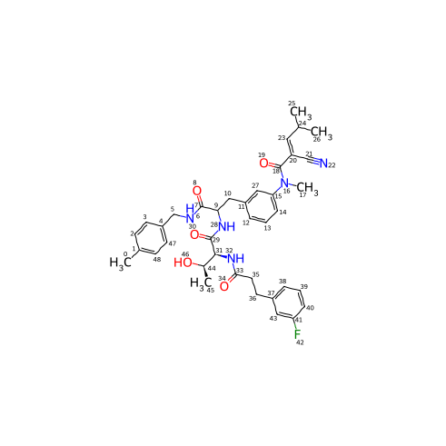 Cc1ccc(CNC(=O)C(Cc2cccc(N(C)C(=O)C(C#N)=CC(C)C)c2)NC(=O)[C@@H](NC(=O)CCc2cccc(F)c2)[C@@H](C)O)cc1